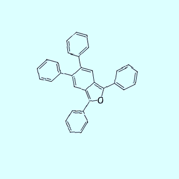 c1ccc(-c2cc3c(-c4ccccc4)oc(-c4ccccc4)c3cc2-c2ccccc2)cc1